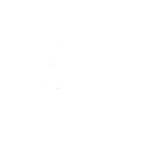 CC(N)c1cc2ccccc2c(=O)[nH]1